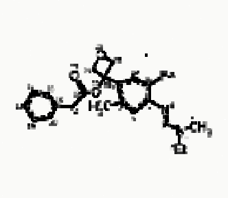 CCN(C)C=Nc1cc(C)c(C2(OC(=O)Cc3ccccc3)COC2)cc1F